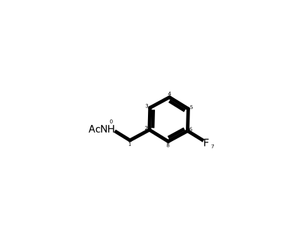 [CH2]C(=O)NCc1cccc(F)c1